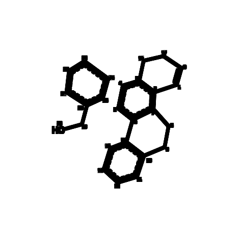 C1=Cc2c(ccc3c2CCc2ccccc2-3)CC1.OCc1ccccc1